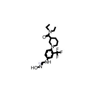 CCN(CC)C(=O)C1CCCN(c2ccc(N/C=N/O)cc2C(F)(F)F)C1